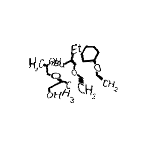 C=COC1CCCCC1.C=COCC(CC)CCCC.CC(O)COC(C)CO